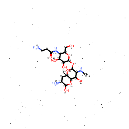 CNC1C(OC2OC(CO)C(NC(=O)CCN)C(O)C2O)O[C@H]2C[C@H](N)C(O)OC2C1O